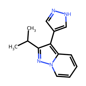 CC(C)c1nn2ccccc2c1-c1cn[nH]c1